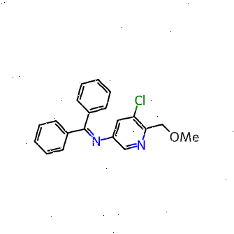 COCc1ncc(N=C(c2ccccc2)c2ccccc2)cc1Cl